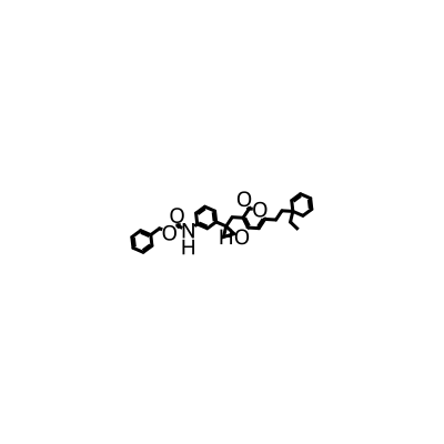 CCC1(CCc2cc(O)c(CC3(c4cccc(NC(=O)OCc5ccccc5)c4)CC3)c(=O)o2)C=CC=CC1